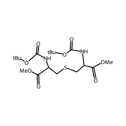 COC(=O)C(CSCC(NC(=O)OC(C)(C)C)C(=O)OC)NC(=O)OC(C)(C)C